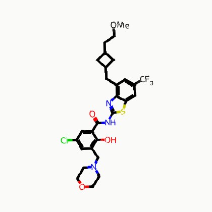 COCCC1CC(Cc2cc(C(F)(F)F)cc3sc(NC(=O)c4cc(Cl)cc(CN5CCOCC5)c4O)nc23)C1